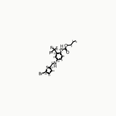 CCCOC(=O)Nc1ccc(NCc2ccc(Br)s2)cc1C(F)(F)F